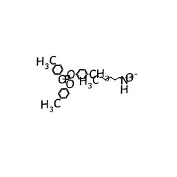 CCCCCC=[NH+][O-].Cc1ccc(OP(Oc2ccc(C)cc2)Oc2ccc(C)cc2)cc1